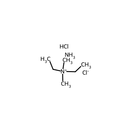 CC[N+](C)(C)CC.Cl.N.[Cl-]